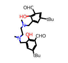 CN(CCN(C)Cc1cc(C(C)(C)C)cc(C=O)c1O)Cc1cc(C(C)(C)C)cc(C=O)c1O